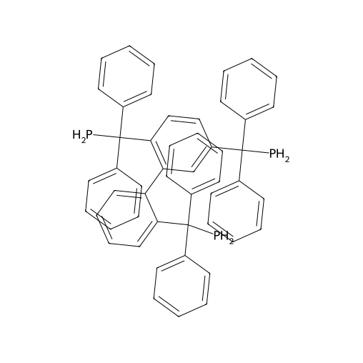 PC(c1ccccc1)(c1ccccc1)c1ccc(C(P)(c2ccccc2)c2ccccc2)c(-c2ccccc2C(P)(c2ccccc2)c2ccccc2)c1